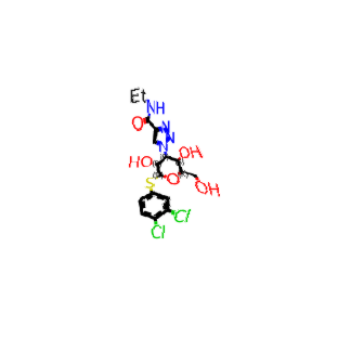 CCNC(=O)c1cn([C@@H]2[C@@H](O)[C@@H](Sc3ccc(Cl)c(Cl)c3)O[C@H](CO)[C@@H]2O)nn1